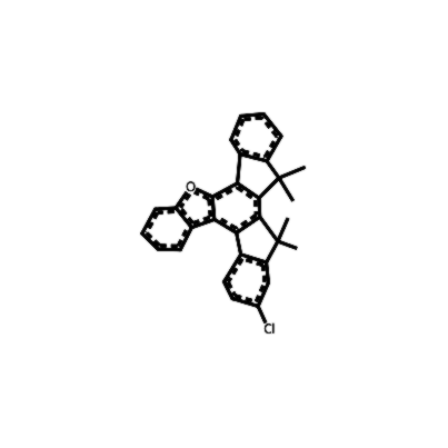 CC1(C)c2ccccc2-c2c1c1c(c3c2oc2ccccc23)-c2ccc(Cl)cc2C1(C)C